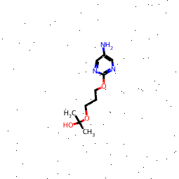 CC(C)(O)OCCCOc1ncc(N)cn1